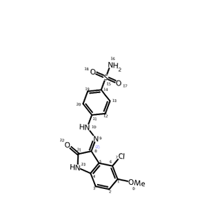 COc1ccc2c(c1Cl)/C(=N/Nc1ccc(S(N)(=O)=O)cc1)C(=O)N2